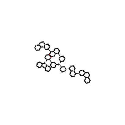 c1cc(-c2ccccc2-n2c3ccccc3c3ccccc32)cc(N(c2cccc(-c3cccc4c(-c5ccc6ccc7ccccc7c6c5)cccc34)c2)c2cccc(-c3cccc4c(-c5ccc6ccc7ccccc7c6c5)cccc34)c2)c1